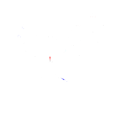 Cc1c(O[C@@H]2CCC[C@H](NCCC(=O)O)C2)ccc2[nH]ncc12.O=C(O)C(F)(F)F.O=C(O)C(F)(F)F